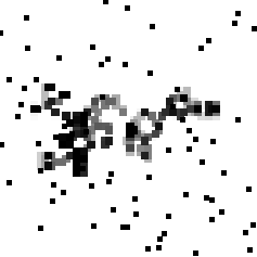 COc1cc(-c2cnc3cc(-c4cnn(C)c4)ccn23)cc(NCCO)c1C(=O)NCC(F)(F)F